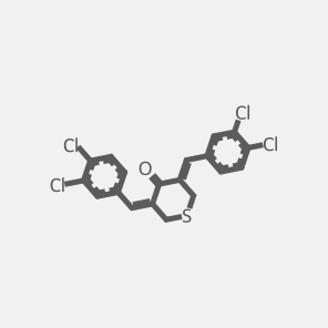 O=C1C(=Cc2ccc(Cl)c(Cl)c2)CSCC1=Cc1ccc(Cl)c(Cl)c1